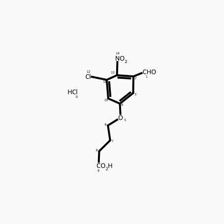 Cl.O=Cc1cc(OCCCC(=O)O)cc(Cl)c1[N+](=O)[O-]